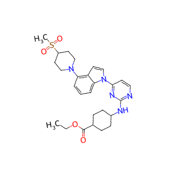 CCOC(=O)C1CCC(Nc2nccc(-n3ccc4c(N5CCC(S(C)(=O)=O)CC5)cccc43)n2)CC1